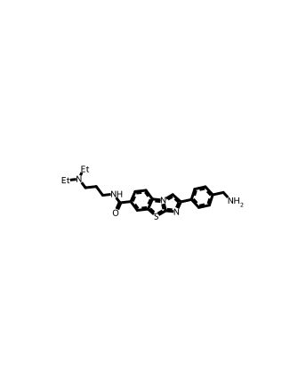 CCN(CC)CCCNC(=O)c1ccc2c(c1)sc1nc(-c3ccc(CN)cc3)cn12